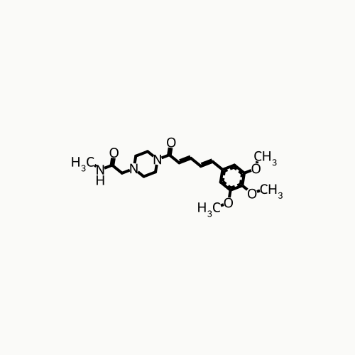 CNC(=O)CN1CCN(C(=O)C=CC=Cc2cc(OC)c(OC)c(OC)c2)CC1